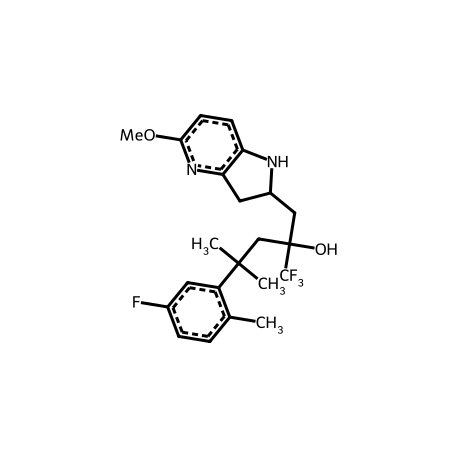 COc1ccc2c(n1)CC(CC(O)(CC(C)(C)c1cc(F)ccc1C)C(F)(F)F)N2